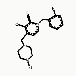 CCN1CCN(Cc2ccn(Cc3ccccc3F)c(=O)c2O)CC1